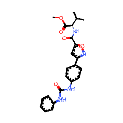 COC(=O)[C@@H](NC(=O)c1cc(-c2ccc(NC(=O)Nc3ccccc3)cc2)no1)C(C)C